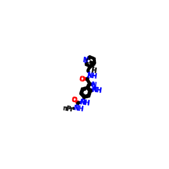 CCCNC(=O)Nc1ccc2c(C(=O)NC[C@H]3CN4CCC3CC4)n[nH]c2c1